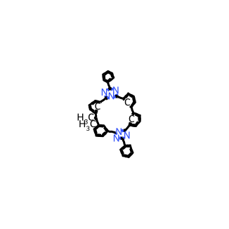 CC1(C)c2cccc(c2)-c2nc(-c3ccccc3)nc(n2)-c2cccc(c2)-c2cccc(c2)-c2nc(-c3ccccc3)nc(n2)-c2cccc1c2